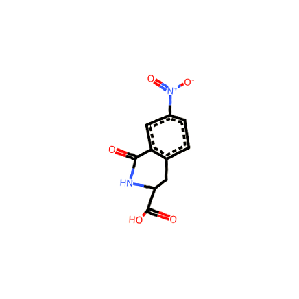 O=C1NC(C(=O)O)Cc2ccc([N+](=O)[O-])cc21